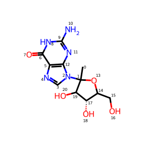 CC1(n2cnc3c(=O)[nH]c(N)nc32)OC(CO)[C@H](O)C1O